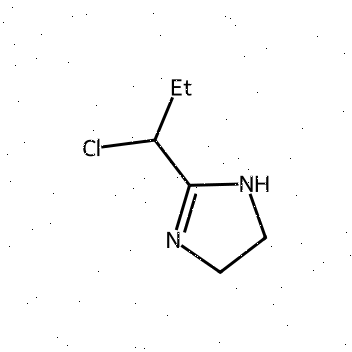 CCC(Cl)C1=NCCN1